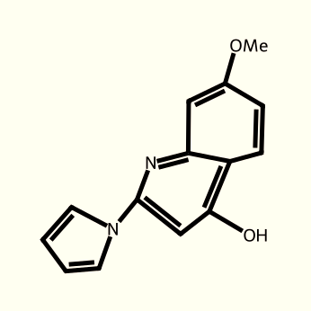 COc1ccc2c(O)cc(-n3cccc3)nc2c1